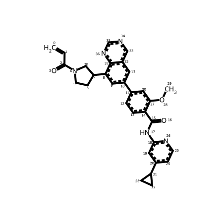 C=CC(=O)N1CCC(c2cc(-c3ccc(C(=O)Nc4cc(C5CC5)ccn4)c(OC)c3)cc3cncnc23)C1